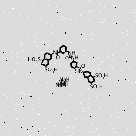 O=C(Nc1cccc(C(=O)Nc2ccc3c(S(=O)(=O)O)cc(S(=O)(=O)O)cc3c2)c1)Nc1cccc(C(=O)Nc2ccc3c(S(=O)(=O)O)cc(S(=O)(=O)O)cc3c2)c1.[NaH].[NaH].[NaH].[NaH]